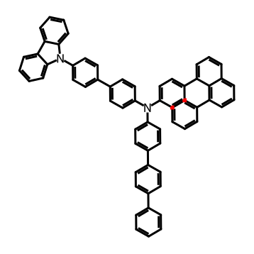 c1ccc(-c2ccc(-c3ccc(N(c4ccc(-c5ccc(-n6c7ccccc7c7ccccc76)cc5)cc4)c4ccc(-c5cccc6cccc(-c7ccccc7)c56)cc4)cc3)cc2)cc1